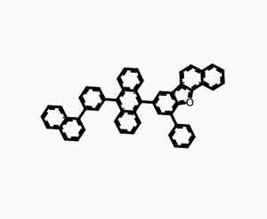 c1ccc(-c2cc(-c3c4ccccc4c(-c4cccc(-c5cccc6ccccc56)c4)c4ccccc34)cc3c2oc2c4ccccc4ccc32)cc1